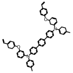 C=CC1=CC=C(Oc2cccc(N(c3ccc(C)cc3)c3ccc(-c4ccc(-c5ccc(N(C6=CC=C(C)CC6)C6=CC=CC(Oc7ccc(C=C)cc7)C6)cc5)cc4)cc3)c2)CC1